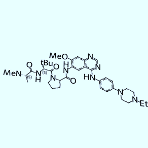 CCN1CCN(c2ccc(Nc3ncnc4cc(OC)c(NC(=O)C5CCCN5C(=O)[C@@H](NC(=O)[C@H](C)NC)C(C)(C)C)cc34)cc2)CC1